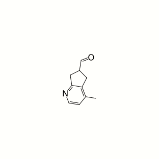 Cc1ccnc2c1CC(C=O)C2